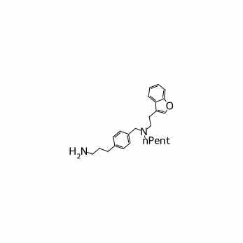 CCCCCN(CCc1coc2ccccc12)Cc1ccc(CCCN)cc1